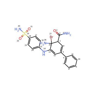 NC(=O)C1C=C(c2ccccc2)C=C(Nc2ccc(S(N)(=O)=O)cc2)C1(N)Br